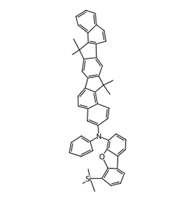 CC1(C)c2cc3c(cc2-c2ccc4ccccc4c21)C(C)(C)c1c-3ccc2cc(N(c3ccccc3)c3cccc4c3oc3c([Si](C)(C)C)cccc34)ccc12